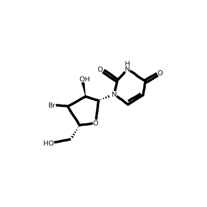 O=c1ccn([C@@H]2O[C@H](CO)C(Br)[C@H]2O)c(=O)[nH]1